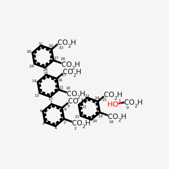 O=C(O)O.O=C(O)c1ccccc1C(=O)O.O=C(O)c1ccccc1C(=O)O.O=C(O)c1ccccc1C(=O)O.O=C(O)c1ccccc1C(=O)O